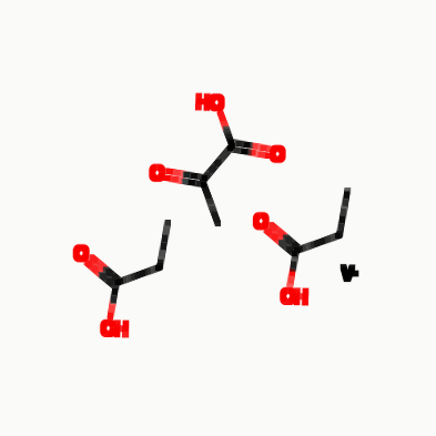 CC(=O)C(=O)O.CCC(=O)O.CCC(=O)O.[V]